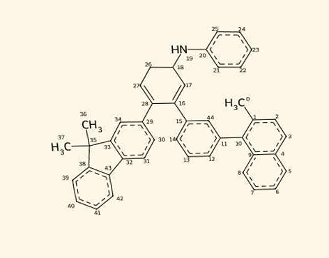 Cc1ccc2ccccc2c1-c1cccc(C2=CC(Nc3ccccc3)CC=C2c2ccc3c(c2)C(C)(C)c2ccccc2-3)c1